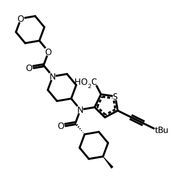 CC(C)(C)C#Cc1cc(N(C(=O)[C@H]2CC[C@H](C)CC2)C2CCN(C(=O)OC3CCOCC3)CC2)c(C(=O)O)s1